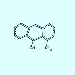 Nc1cccc2cc3ccccc3c(O)c12